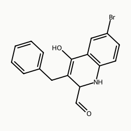 O=CC1Nc2ccc(Br)cc2C(O)=C1Cc1ccccc1